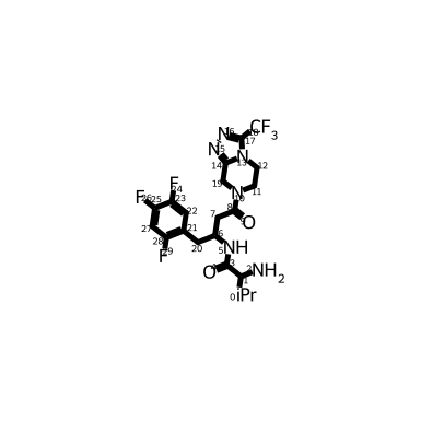 CC(C)C(N)C(=O)NC(CC(=O)N1CCn2c(nnc2C(F)(F)F)C1)Cc1cc(F)c(F)cc1F